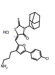 Cl.NCCCc1cc(-c2ccc(Cl)cc2)oc1/C=C1/SC(=S)N(C2C3CC4CC(C3)CC2C4)C1=O